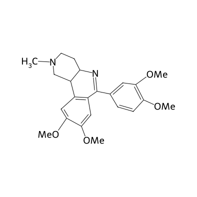 COc1ccc(C2=NC3CCN(C)CC3c3cc(OC)c(OC)cc32)cc1OC